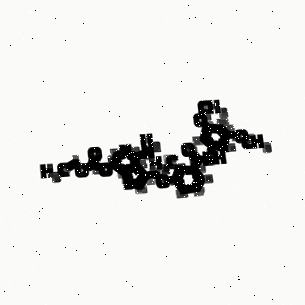 CCOC(=O)Oc1cnc(N)c2c(COc3cccc(C(=O)Nc4cc(OC)cc(OC)c4)c3C)csc12